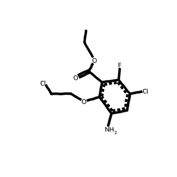 CCOC(=O)c1c(F)c(Cl)cc(N)c1OCCCl